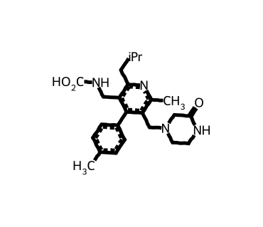 Cc1ccc(-c2c(CN3CCNC(=O)C3)c(C)nc(CC(C)C)c2CNC(=O)O)cc1